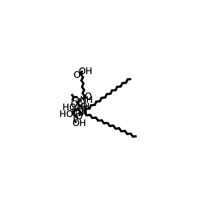 CCCCCCCCCCCCCCCCCCN(C(=O)CCCCCCCCCCCCCCCCC)[C@@H]1O[C@H](CO)[C@@H](O)[C@H](O)[C@H]1NC(=O)[C@H](CC(C)C)NC(=O)CCCCCCC(=O)O